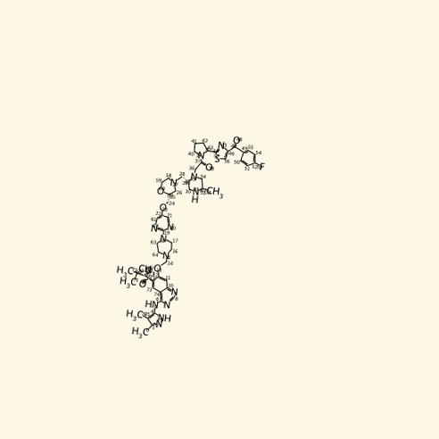 Cc1n[nH]c(Nc2ncnc3cc(OCN4CCN(c5ncc(OC[C@H]6CN(C[C@H]7CN[C@H](C)CN7CC(=O)N7CCC[C@H]7c7nc(C(=O)c8ccc(F)cc8)cs7)CCO6)cn5)CC4)c(S(=O)(=O)C(C)(C)C)cc23)c1C